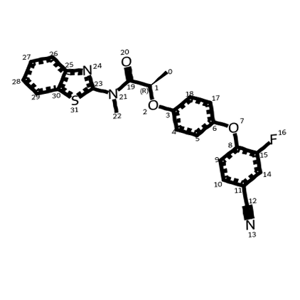 C[C@@H](Oc1ccc(Oc2ccc(C#N)cc2F)cc1)C(=O)N(C)c1nc2ccccc2s1